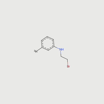 [2H]c1cccc(NCCBr)c1